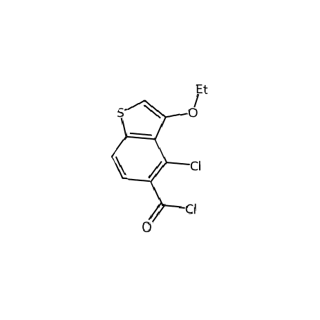 CCOc1csc2ccc(C(=O)Cl)c(Cl)c12